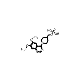 COc1cc2ncnc(N3CCC(COP(O)(O)=S)CC3)c2cc1OC